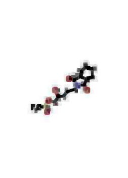 O=C(CCCN1C(=O)c2ccccc2C1=O)COS(=O)C(F)(F)F